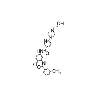 Cc1cccc(C(=O)Nc2cc(NC(=O)c3ccc(N4CCN(CCO)CC4)nc3)ccc2Cl)c1